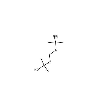 CC(C)(O)CCOC(C)(C)N